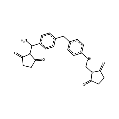 NC(c1ccc(Cc2ccc(NCN3C(=O)CCC3=O)cc2)cc1)N1C(=O)CCC1=O